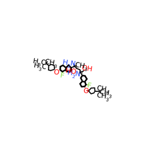 CC(C)(C)C1CCC(Oc2ccc3cc([C@@](N)(CO)CC(O)[C@](C)(N)c4ccc5c(F)c(OC6CCC(C(C)(C)C)CC6)ccc5c4)ccc3c2F)CC1